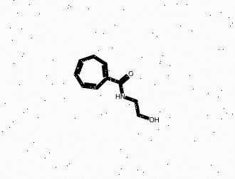 O=C(NCCO)C1=CCC=CC=C1